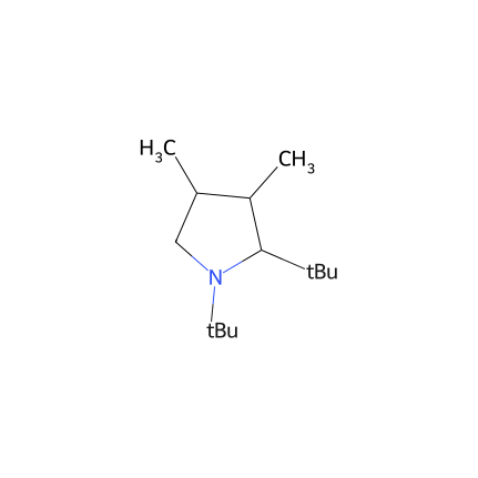 CC1CN(C(C)(C)C)C(C(C)(C)C)C1C